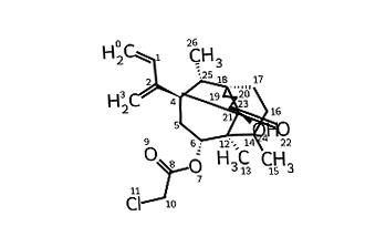 C=CC(=C)[C@@H]1C[C@@H](OC(=O)CCl)[C@]2(C)C(C)CC[C@]3(CCC(=O)[C@]32O)[C@H]1C